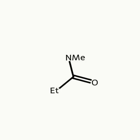 [CH]NC(=O)CC